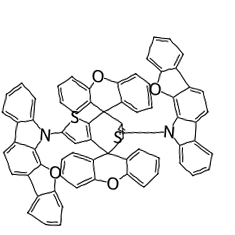 c1ccc2c(c1)Oc1ccccc1C21c2cc(-n3c4ccccc4c4ccc5c6ccccc6oc5c43)sc2C2(c3ccccc3Oc3ccccc32)c2cc(-n3c4ccccc4c4ccc5c6ccccc6oc5c43)sc21